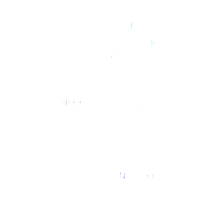 O=C(O)c1cc(Oc2ccc(C(=O)N3CCC3)cc2)c2c(c1)OC(C(F)F)C2